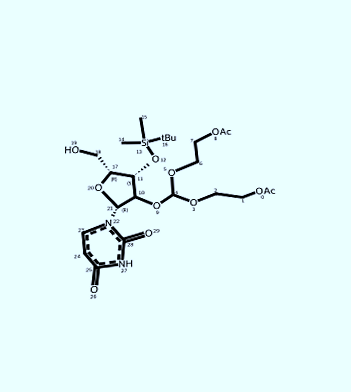 CC(=O)OCCOC(OCCOC(C)=O)OC1[C@@H](O[Si](C)(C)C(C)(C)C)[C@@H](CO)O[C@H]1n1ccc(=O)[nH]c1=O